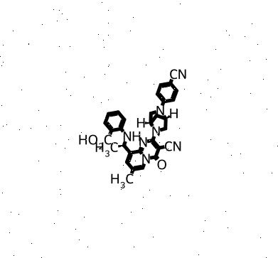 Cc1cc([C@@H](C)Nc2ccccc2C(=O)O)c2nc(N3C[C@@H]4C[C@H]3CN4c3ccc(C#N)cc3)c(C#N)c(=O)n2c1